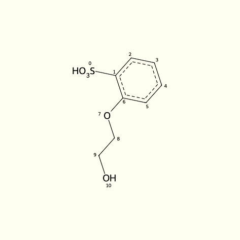 O=S(=O)(O)c1ccccc1OCCO